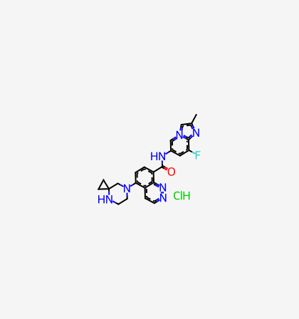 Cc1cn2cc(NC(=O)c3ccc(N4CCNC5(CC5)C4)c4ccnnc34)cc(F)c2n1.Cl